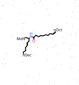 CCCCCCCC/C=C\CCCCCCCC(=O)NC(C/C=C/CCCCCCCCCCCCC)CNC